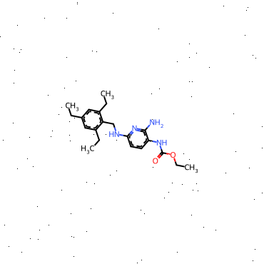 CCOC(=O)Nc1ccc(NCc2c(CC)cc(CC)cc2CC)nc1N